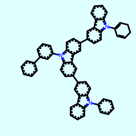 C1=CC(n2c3ccccc3c3cc(-c4ccc5c(c4)c4cc(-c6ccc7c(c6)c6ccccc6n7-c6ccccc6)ccc4n5-c4cccc(-c5ccccc5)c4)ccc32)=CCC1